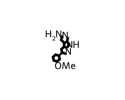 COc1cccc(-c2cnc3[nH]c4cnc(N)cc4c3c2)c1